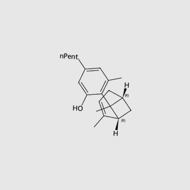 CCCCCc1cc(C)c(C2(C)[C@@H]3CC=C(C)[C@H]2C3)c(O)c1